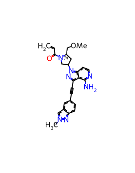 C=CC(=O)N1CC(n2nc(C#Cc3ccc4nn(C)cc4c3)c3c(N)nccc32)C[C@@H]1COC